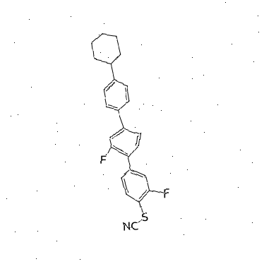 N#CSc1ccc(-c2ccc(-c3ccc(C4CCCCC4)cc3)cc2F)cc1F